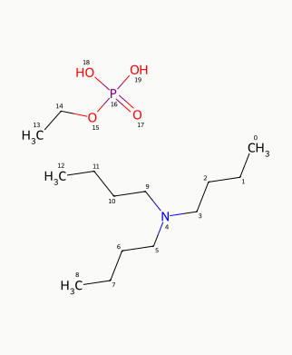 CCCCN(CCCC)CCCC.CCOP(=O)(O)O